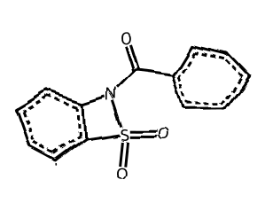 O=C(c1ccccc1)N1c2ccc[c]c2S1(=O)=O